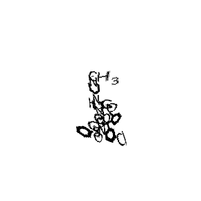 COCc1ccccc1C1(OC(=O)N2CCN(C3CCN(C)CC3)CC2)C(=O)N(S(=O)(=O)c2ccccc2)c2ccc(Cl)cc21